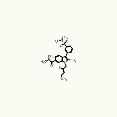 Cc1c(-c2cccc(S(=O)(=O)N(C)C)c2)c2ccc(C(=O)N(C)C)cc2n1CC(F)=CCN